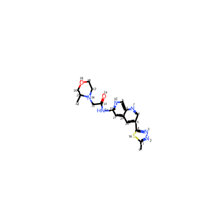 Cc1nnc(-c2cnc3cnc(NC(=O)CN4CCOCC4C)cc3c2)s1